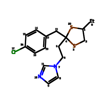 CCC1CSC(CCn2ccnc2)(Cc2ccc(Cl)cc2)S1